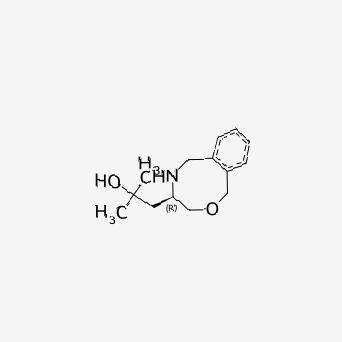 CC(C)(O)C[C@@H]1COCc2ccccc2CN1